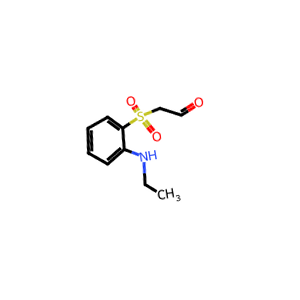 CCNc1ccccc1S(=O)(=O)CC=O